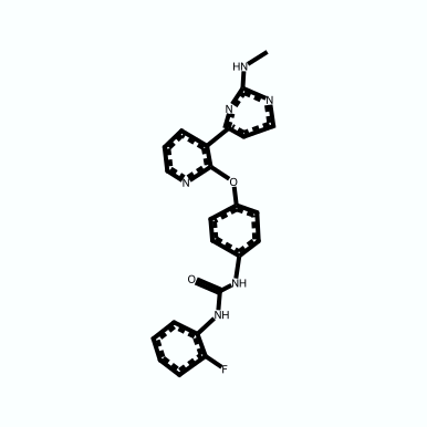 CNc1nccc(-c2cccnc2Oc2ccc(NC(=O)Nc3ccccc3F)cc2)n1